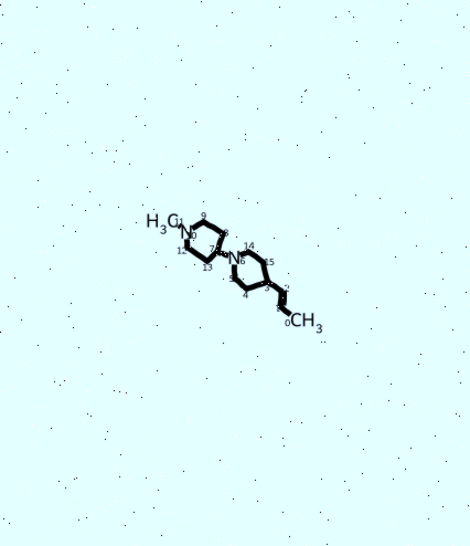 C/C=C/C1CCN(C2CCN(C)CC2)CC1